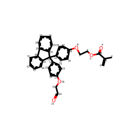 C=C(C)C(=O)OCCOc1ccc(C2(c3ccc(OCC=O)cc3)c3ccccc3-c3ccccc32)cc1